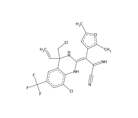 C=CC1(CCl)N/C(=C(/C(=N)C#N)c2cc(C)oc2C)Nc2c(Cl)cc(C(F)(F)F)cc21